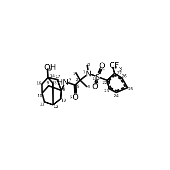 CN(C(C)(C)C(=O)NC12CC3CC(CC(O)(C3)C1)C2)S(=O)(=O)c1ccccc1C(F)(F)F